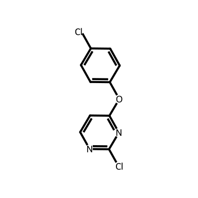 Clc1ccc(Oc2ccnc(Cl)n2)cc1